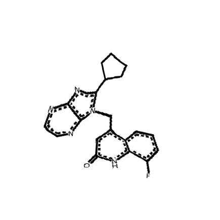 O=c1cc(Cn2c(C3CCCC3)nc3nccnc32)c2cccc(F)c2[nH]1